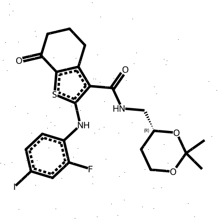 CC1(C)OCC[C@H](CNC(=O)c2c(Nc3ccc(I)cc3F)sc3c2CCCC3=O)O1